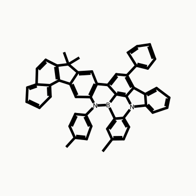 Cc1ccc(N2B3c4cc(C)ccc4-n4c5ccccc5c5c(-c6ccccc6)cc(c3c54)-c3cc4c(cc32)-c2c(ccc3ccccc23)C4(C)C)cc1